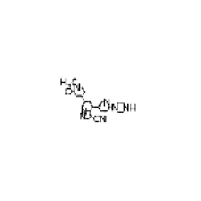 Cn1ccc(-c2cc(-c3ccc(N4CCNCC4)nc3)c3c(C#N)cnn3c2)cc1=O